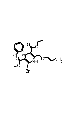 Br.CCOC(=O)C1=C(COCCN)NC(C)=C(C(=O)OC)[C@@H]1c1ccccc1Cl